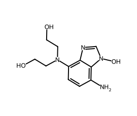 Nc1ccc(N(CCO)CCO)c2ncn(O)c12